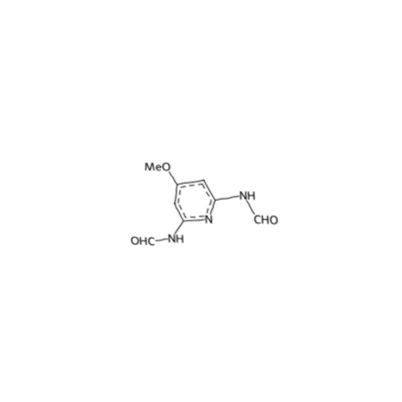 COc1cc(NC=O)nc(NC=O)c1